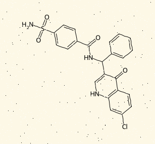 NS(=O)(=O)c1ccc(C(=O)NC(c2ccccc2)c2c[nH]c3cc(Cl)ccc3c2=O)cc1